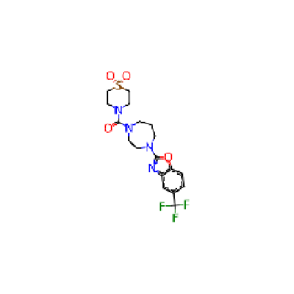 O=C(N1CCCN(c2nc3cc(C(F)(F)F)ccc3o2)CC1)N1CCS(=O)(=O)CC1